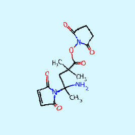 CC(C)(CC(C)(N)N1C(=O)C=CC1=O)C(=O)ON1C(=O)CCC1=O